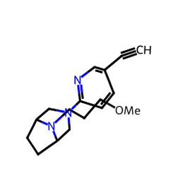 C#Cc1ccc(N2CC3CCC(C2)N3CCCOC)nc1